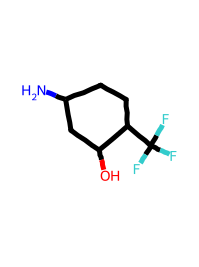 NC1CCC(C(F)(F)F)C(O)C1